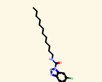 CCCCCCCCCCCCNC(=O)n1nnc2cc(Cl)c(Cl)cc21